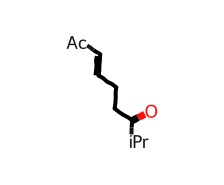 CC(=O)/C=C/CCC(=O)C(C)C